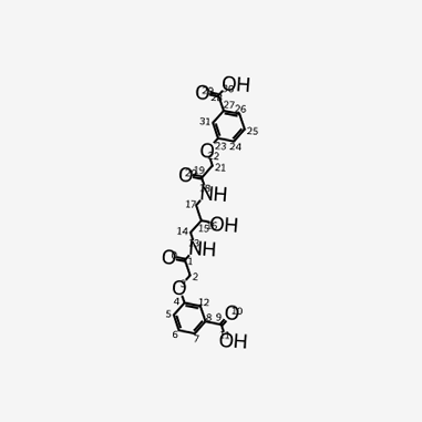 O=C(COc1cccc(C(=O)O)c1)NCC(O)CNC(=O)COc1cccc(C(=O)O)c1